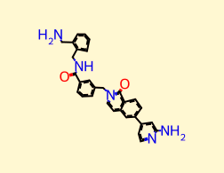 NCc1ccccc1CNC(=O)c1cccc(Cn2ccc3cc(-c4ccnc(N)c4)ccc3c2=O)c1